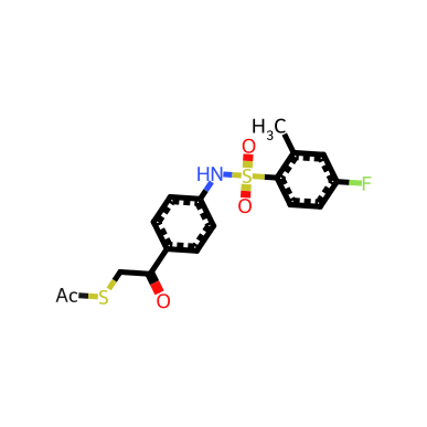 CC(=O)SCC(=O)c1ccc(NS(=O)(=O)c2ccc(F)cc2C)cc1